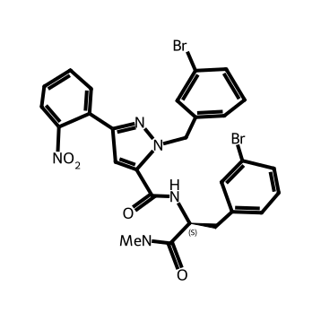 CNC(=O)[C@H](Cc1cccc(Br)c1)NC(=O)c1cc(-c2ccccc2[N+](=O)[O-])nn1Cc1cccc(Br)c1